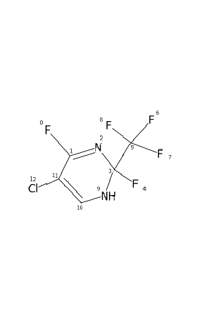 FC1=NC(F)(C(F)(F)F)NC=C1Cl